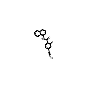 CC(C)(C)C#Cc1ccc(C(=O)Nc2cccc3ccccc23)c(F)c1